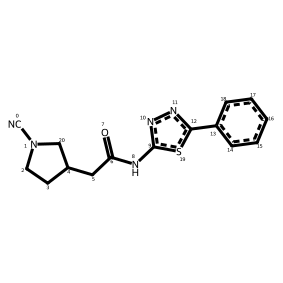 N#CN1CCC(CC(=O)Nc2nnc(-c3ccccc3)s2)C1